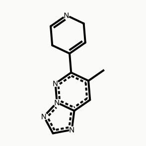 Cc1cc2ncnn2nc1C1=CCN=CC1